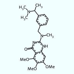 COc1cc2[nH]c(N(C)Cc3cccc(C(C)N(C)C)c3)nc(=O)c2c(OC)c1OC